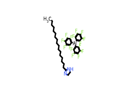 CCCCCCCCCCCCCCCCCC1=NCCN1.Fc1c(F)c(F)[c]([Al]([c]2c(F)c(F)c(F)c(F)c2F)[c]2c(F)c(F)c(F)c(F)c2F)c(F)c1F